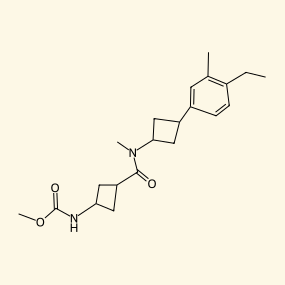 CCc1ccc(C2CC(N(C)C(=O)C3CC(NC(=O)OC)C3)C2)cc1C